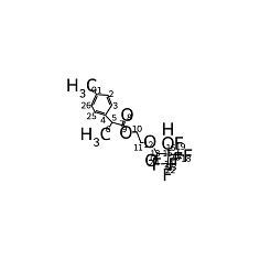 Cc1ccc(C(C)C(=O)OCCOC(=O)C(O)(C(F)(F)F)C(F)(F)F)cc1